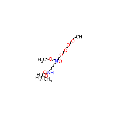 C#CCOCCOCCOCCOCCC(=O)N(CCCCCCNC(=O)OC(C)(C)C)CCOCCC